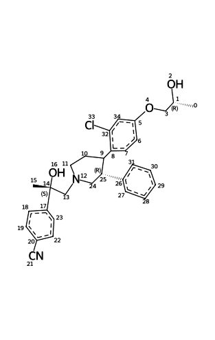 C[C@@H](O)COc1ccc(C2CCN(C[C@@](C)(O)c3ccc(C#N)cc3)C[C@H]2c2ccccc2)c(Cl)c1